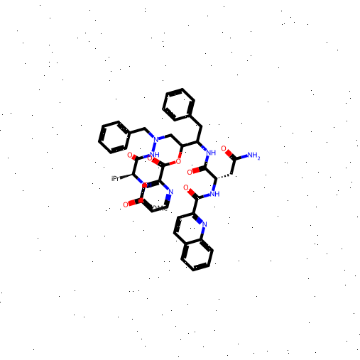 COC(=O)N[C@H](C(=O)NN(Cc1ccccc1)CC(OC(=O)c1ccccn1)C(Cc1ccccc1)NC(=O)[C@H](CC(N)=O)NC(=O)c1ccc2ccccc2n1)C(C)C